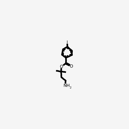 CC(C)(CCN)OC(=O)c1ccc(I)cc1